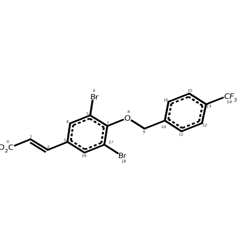 O=C(O)C=Cc1cc(Br)c(OCc2ccc(C(F)(F)F)cc2)c(Br)c1